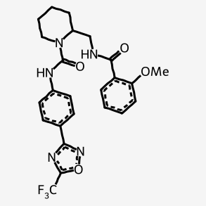 COc1ccccc1C(=O)NCC1CCCCN1C(=O)Nc1ccc(-c2noc(C(F)(F)F)n2)cc1